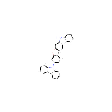 c1ccc2c(c1)[nH]c1cc3oc4cc(-n5c6ccccc6c6ccccc65)ccc4c3cc12